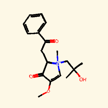 COC1=C[N+](C)(CC(C)(C)O)C(CC(=O)c2ccccc2)C1=O